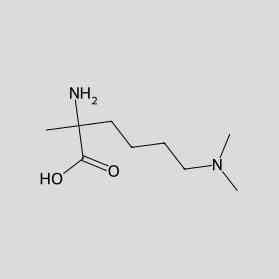 CN(C)CCCCC(C)(N)C(=O)O